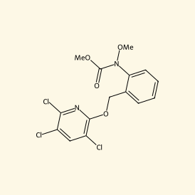 COC(=O)N(OC)c1ccccc1COc1nc(Cl)c(Cl)cc1Cl